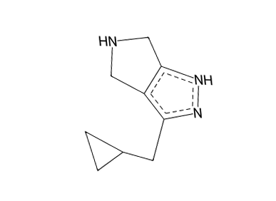 C1NCc2c(CC3CC3)n[nH]c21